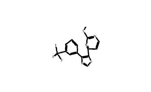 CSc1nccc(-c2scnc2-c2cccc(C(F)(F)F)c2)n1